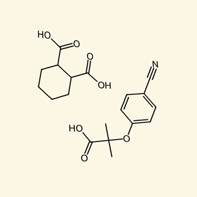 CC(C)(Oc1ccc(C#N)cc1)C(=O)O.O=C(O)C1CCCCC1C(=O)O